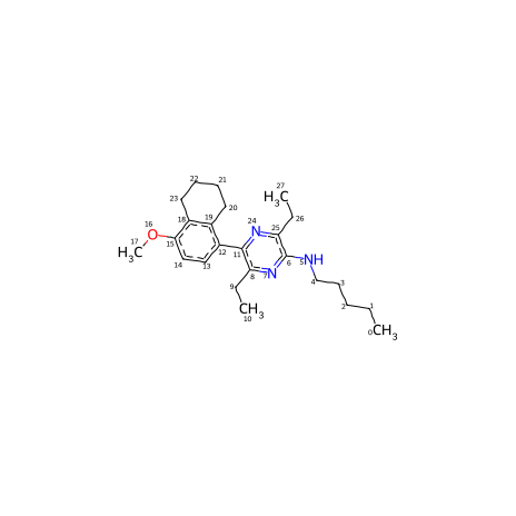 CCCCCNc1nc(CC)c(-c2ccc(OC)c3c2CCCC3)nc1CC